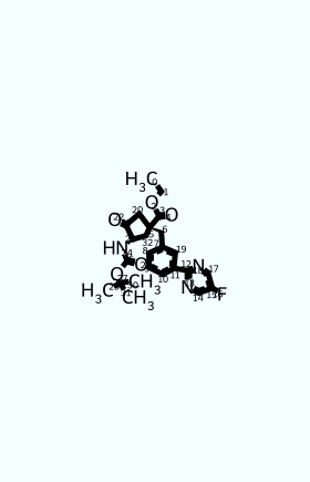 CCOC(=O)[C@@]1(Cc2cccc(-c3ncc(F)cn3)c2)CC(=O)[C@H](NC(=O)OC(C)(C)C)C1